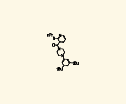 CCCSc1ncccc1C(=O)N1CCN(c2cc(C(C)(C)C)cc(C(C)(C)C)c2)CC1